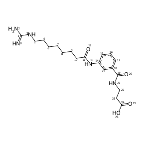 N=C(N)NCCCCCCCC(=O)Nc1cccc(C(=O)NCCC(=O)O)c1